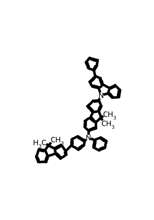 CC1(C)c2ccccc2-c2ccc(-c3ccc(N(c4ccccc4)c4ccc5c(c4)C(C)(C)c4cc(-n6c7ccccc7c7cc(-c8ccccc8)ccc76)ccc4-5)cc3)cc21